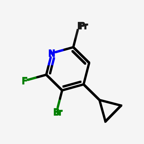 CC(C)c1cc(C2CC2)c(Br)c(F)n1